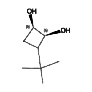 CC(C)(C)C1C[C@@H](O)[C@H]1O